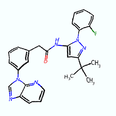 CC(C)(C)c1cc(NC(=O)Cc2cccc(-n3cnc4cccnc43)c2)n(-c2ccccc2F)n1